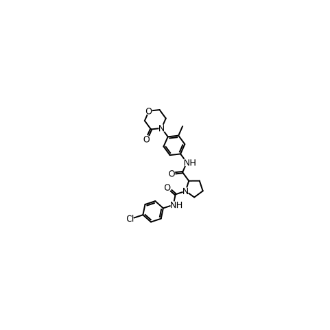 Cc1cc(NC(=O)C2CCCN2C(=O)Nc2ccc(Cl)cc2)ccc1N1CCOCC1=O